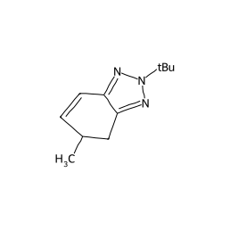 CC1C=Cc2nn(C(C)(C)C)nc2C1